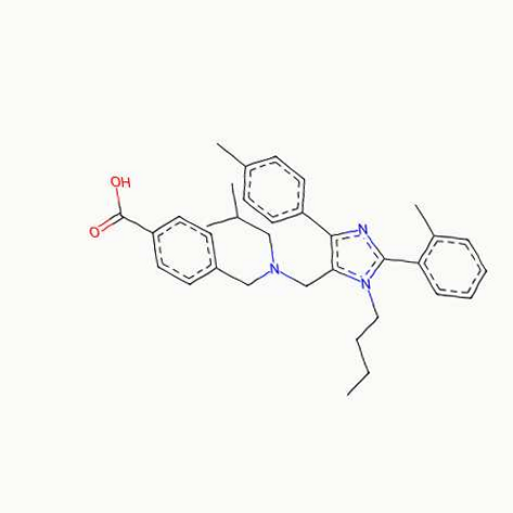 CCCCn1c(-c2ccccc2C)nc(-c2ccc(C)cc2)c1CN(Cc1ccc(C(=O)O)cc1)CC(C)C